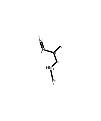 CCNCC(C)N=N